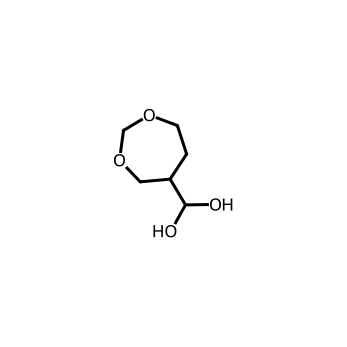 OC(O)C1CCOCOC1